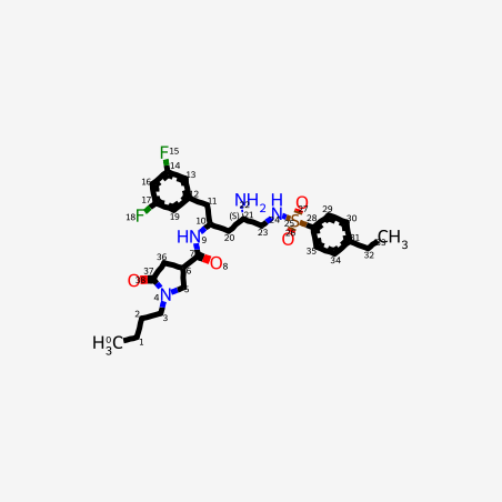 CCCCN1CC(C(=O)NC(Cc2cc(F)cc(F)c2)C[C@H](N)CNS(=O)(=O)c2ccc(CC)cc2)CC1=O